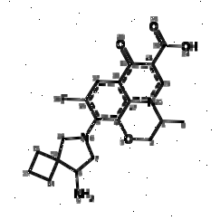 CC1COc2c(N3CC(N)C4(CCC4)C3)c(F)cc3c(=O)c(C(=O)O)cn1c23